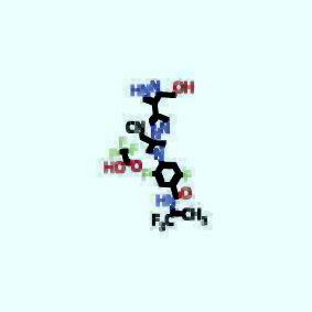 C[C@H](NC(=O)c1cc(F)c(N2CC(CC#N)(n3cc(-c4c[nH]nc4CO)cn3)C2)cc1F)C(F)(F)F.O=C(O)C(F)(F)F